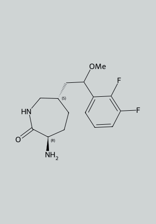 COC(C[C@@H]1CC[C@@H](N)C(=O)NC1)c1cccc(F)c1F